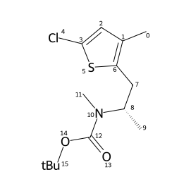 Cc1cc(Cl)sc1C[C@H](C)N(C)C(=O)OC(C)(C)C